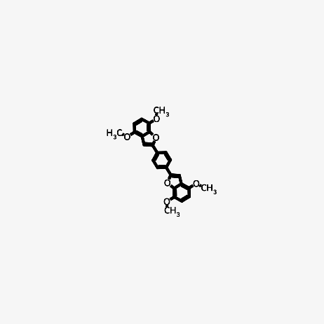 COc1ccc(OC)c2oc(-c3ccc(-c4cc5c(OC)ccc(OC)c5o4)cc3)cc12